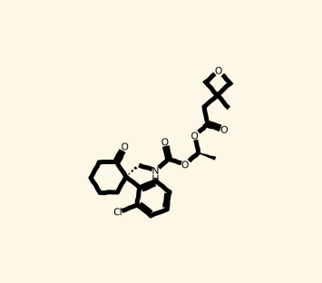 C[C@H](OC(=O)CC1(C)COC1)OC(=O)NC[C@]1(c2ccccc2Cl)CCCCC1=O